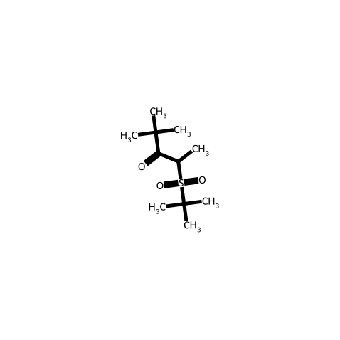 CC(C(=O)C(C)(C)C)S(=O)(=O)C(C)(C)C